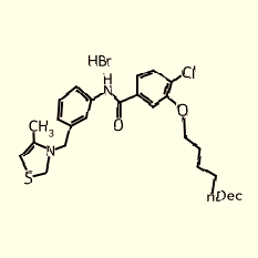 Br.CCCCCCCCCCCCCCOc1cc(C(=O)Nc2cccc(CN3CSC=C3C)c2)ccc1Cl